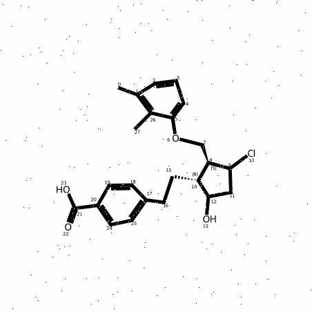 Cc1cccc(OC[C@H]2C(Cl)CC(O)[C@@H]2CCc2ccc(C(=O)O)cc2)c1C